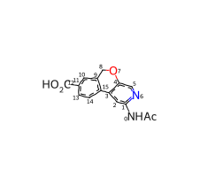 CC(=O)Nc1cc2c(cn1)OCc1cc(C(=O)O)ccc1-2